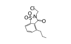 CCCc1cccc2c1C(=O)N(CCl)S2(=O)=O